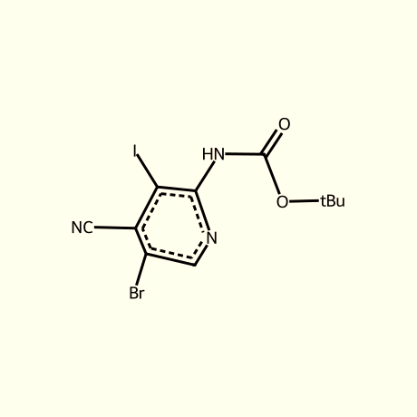 CC(C)(C)OC(=O)Nc1ncc(Br)c(C#N)c1I